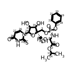 C#C[C@]1(COP(=O)(N[C@@H](C)C(=O)OC(C)C)Oc2ccccc2)OC(n2ccc(=O)[nH]c2=S)C(O)C1O